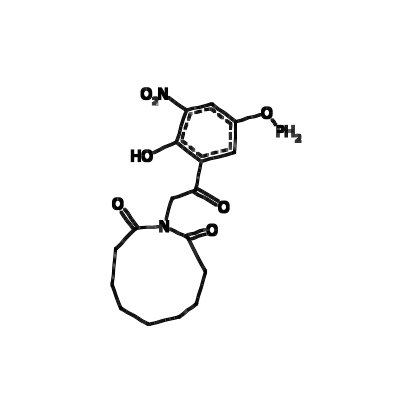 O=C(CN1C(=O)CCCCCCCC1=O)c1cc(OP)cc([N+](=O)[O-])c1O